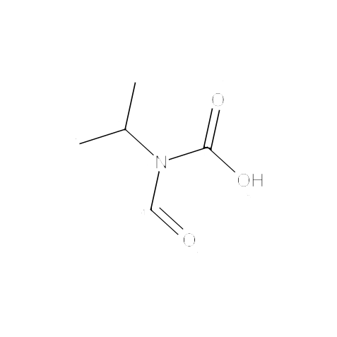 CC(C)N([C]=O)C(=O)O